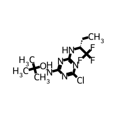 CC[C@@H](Nc1nc(Cl)nc(NOC(C)(C)C)n1)C(F)(F)F